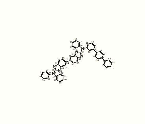 c1ccc(-c2ccc(-c3cccc(-n4c5ccccc5n5c6cc(-c7ccc8nc9n(-c%10ccccc%10)c%10ccccc%10n9c8c7)ccc6nc45)c3)cc2)cc1